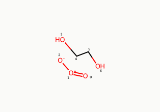 O=[O+][O-].OCCO